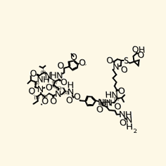 CC[C@H](C)C([C@@H](CC(=O)N1C[C@@H](NC(=O)OCc2ccc(NC(=O)C(CCCNC(N)=O)NC(=O)[C@@H](NC(=O)CCCCCN3C(=O)CC(SCC4(CC(=O)O)CC4)C3=O)C(C)C)cc2)C[C@H]1[C@H](OC)[C@@H](C)C(=O)NCC(=O)c1ccc(OC)c(OC)c1)OC)N(C)C(=O)[C@@H](NC(=O)[C@H](C(C)C)N(C)C)C(C)C